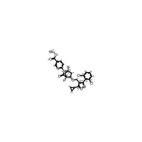 CC(C)(C)OC(=O)c1ccc(N2C(=O)[C@@H]3C[C@H]2C[C@H]3OCc2c(-c3c(Cl)cccc3Cl)noc2C2CC2)nc1